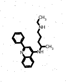 CCNCCCC(C)Nc1cc(-c2ccccc2)nc2ccccc12